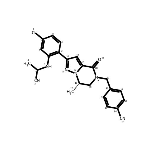 CC(C#N)Nc1cc(Cl)ccc1-c1cc2n(n1)[C@@H](C)CN(Cc1ccc(C#N)cc1)C2=O